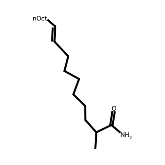 CCCCCCCCC=CCCCCCCC(C)C(N)=O